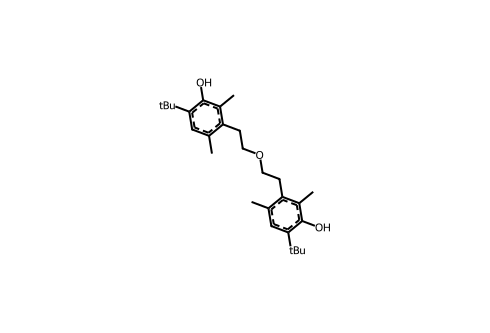 Cc1cc(C(C)(C)C)c(O)c(C)c1CCOCCc1c(C)cc(C(C)(C)C)c(O)c1C